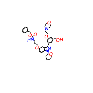 O=C(NCCCOc1ccc2c(c1)c(-c1cc(CO)cc(OCCN3CCOCC3)c1)nn2C1CCCCO1)OCc1ccccc1